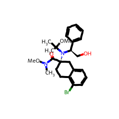 CON(C)C(=O)[C@]1(N([C@H](CO)c2ccccc2)C(C)(C)OC)CCc2c(Br)cccc2C1